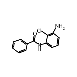 Nc1cccc(NC(=O)c2ccccc2)c1Cl